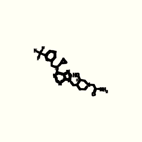 NC(=O)CN1CCC(Cn2cnc3c(N(Cc4cccc(C(F)(F)F)c4)C4CC4)ncnc32)[C@@H](O)C1